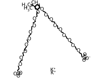 CC(C)(C)c1ccc(OCCOCCOCCOCCOCCOCCOCCOCCOCCCS(=O)(=O)[O-])c(OCCOCCOCCOCCOCCOCCOCCOCCOCCCS(=O)(=O)[O-])c1.[K+].[K+]